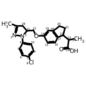 CC1=NN(c2ccc(Cl)cc2)C(COc2ccc3c(c2)CCC3C(C)C(=O)O)C1